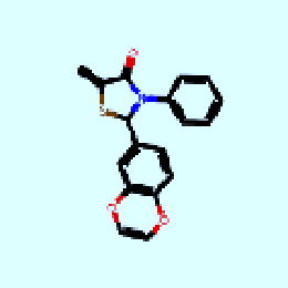 C=C1SC(c2ccc3c(c2)OC=CO3)N(c2ccccc2)C1=O